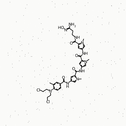 Cc1cc(C(=O)Nc2cc(C(=O)Nc3cc(C(=O)Nc4cc(C(=O)NCCC(N)=NO)n(C)c4)n(C)c3)n(C)c2)ccc1N(CCCl)CCCl